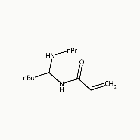 C=CC(=O)NC(CCCC)NCCC